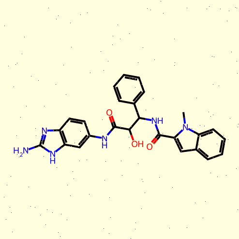 Cn1c(C(=O)NC(c2ccccc2)C(O)C(=O)Nc2ccc3nc(N)[nH]c3c2)cc2ccccc21